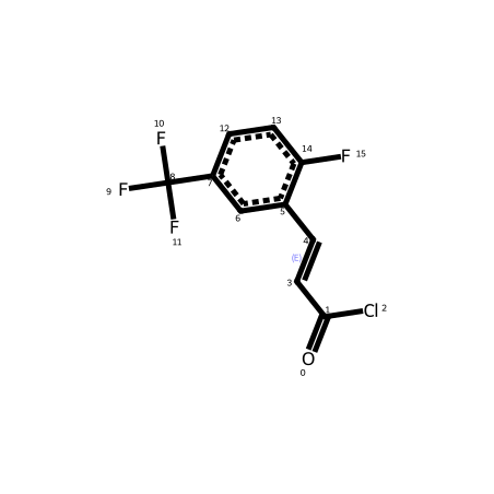 O=C(Cl)/C=C/c1cc(C(F)(F)F)ccc1F